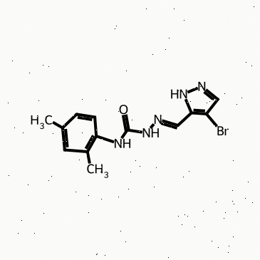 Cc1ccc(NC(=O)NN=Cc2[nH]ncc2Br)c(C)c1